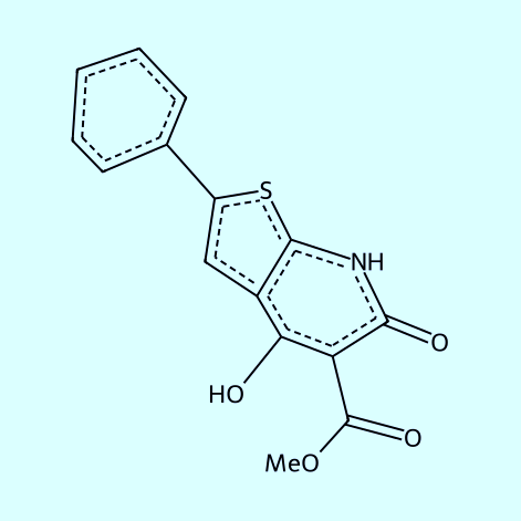 COC(=O)c1c(O)c2cc(-c3ccccc3)sc2[nH]c1=O